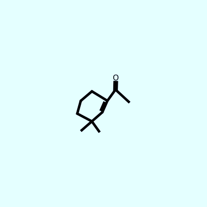 CC(=O)C1=CC(C)(C)CCC1